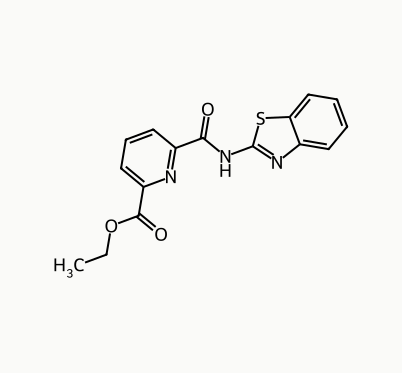 CCOC(=O)c1cccc(C(=O)Nc2nc3ccccc3s2)n1